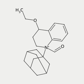 CCOC1CC[N+](C=O)(C23CC4CC(CC(C4)C2)C3)c2ccccc21